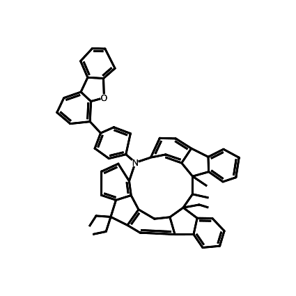 CCC1(CC)C2=C3CC4C(=C2)c2ccccc2C4(CC)C(C)C2(C)c4ccccc4-c4ccc(cc42)N(c2ccc(-c4cccc5c4oc4ccccc45)cc2)c2cccc1c23